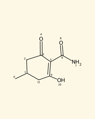 CC1CC(=O)C(C(N)=O)=C(O)C1